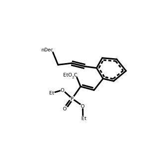 CCCCCCCCCCCC#Cc1ccccc1/C=C(\C(=O)OCC)P(=O)(OCC)OCC